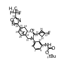 CC(C)(C)OC(=O)Nc1cccc(N(CC23CCC(c4noc(C(C)(F)F)n4)(CC2)CC3)C(=O)C23CC(F)(C2)C3)c1